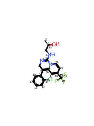 C[C@@H](O)CNC1=NCC(c2ccccc2Cl)=C2C=C(C(F)(F)F)C=CN12